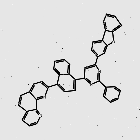 c1ccc(-c2nc(-c3ccc4c(c3)oc3ccccc34)cc(-c3ccc(-c4ccc5ccc6cccnc6c5n4)c4ccccc34)n2)cc1